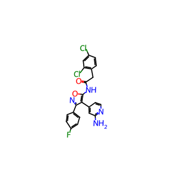 Nc1cc(-c2c(-c3ccc(F)cc3)noc2NC(=O)Cc2ccc(Cl)cc2Cl)ccn1